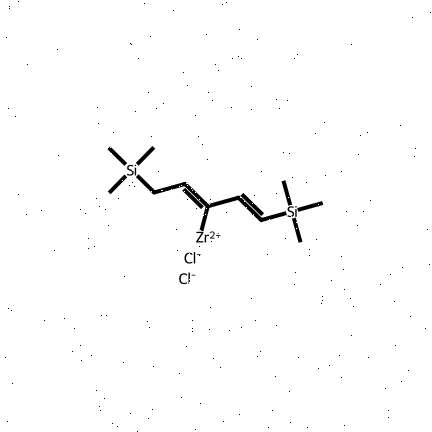 C[Si](C)(C)C=C[C]([Zr+2])=CC[Si](C)(C)C.[Cl-].[Cl-]